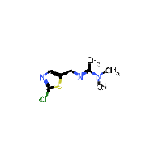 C/C(=N\Cc1cnc(Cl)s1)N(C)C#N